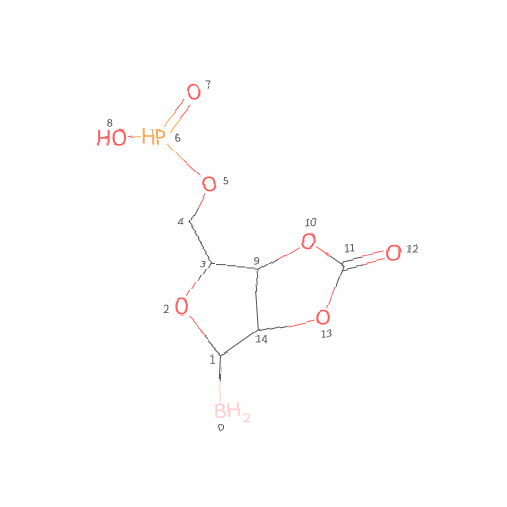 BC1OC(CO[PH](=O)O)C2OC(=O)OC12